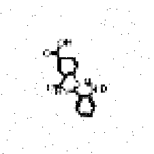 O=C(O)c1ccc2nc(-c3ccccc3[N+](=O)[O-])[nH]c(=O)c2c1